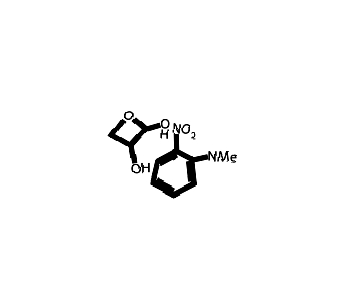 CNc1ccccc1[N+](=O)[O-].OC1COC1O